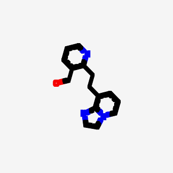 O=Cc1cccnc1CCc1cccn2ccnc12